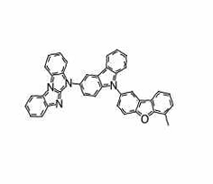 Cc1cccc2c1oc1ccc(-n3c4ccccc4c4cc(-n5c6ccccc6n6c7ccccc7nc56)ccc43)cc12